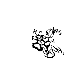 COC(=O)C1=C(C(OC)OC)NC(C)=C(P2(=O)OCCCO2)C1c1ccccc1C(F)(F)F